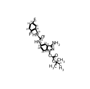 CC(C)(C)OC(=O)On1nc(N)c2cc(NC(=O)NCc3cc(F)ccc3F)ccc21